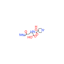 CN1CCC(O)(C(=O)NC(CCC(=O)C=[N+]=[N-])C(=O)O)CC1